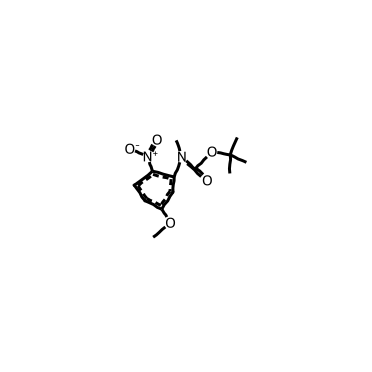 COc1ccc([N+](=O)[O-])c(N(C)C(=O)OC(C)(C)C)c1